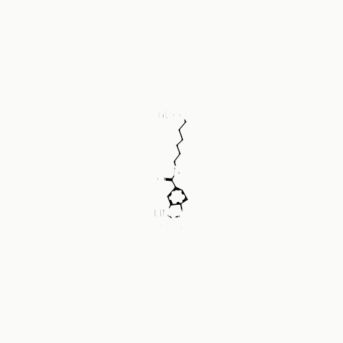 CCCCCCCCCCCCCCCCNC(=O)c1ccc2c(c1)NS(=O)(=O)O2